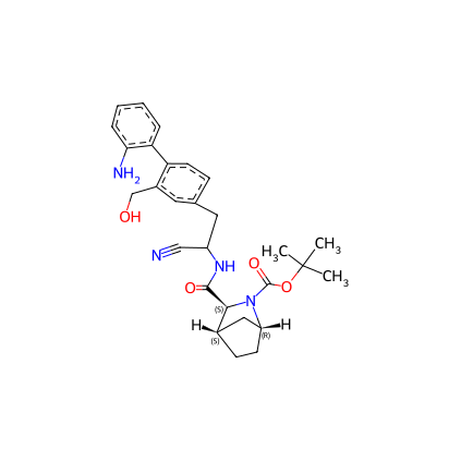 CC(C)(C)OC(=O)N1[C@@H]2CC[C@@H](C2)[C@H]1C(=O)NC(C#N)Cc1ccc(-c2ccccc2N)c(CO)c1